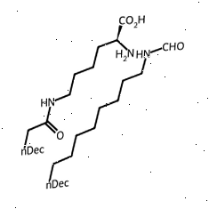 CCCCCCCCCCCC(=O)NCCCC[C@H](N)C(=O)O.CCCCCCCCCCCCCCCCCCNC=O